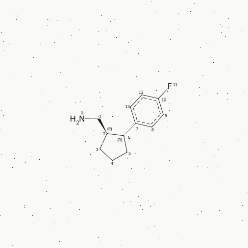 NC[C@@H]1CCC[C@H]1c1ccc(F)cc1